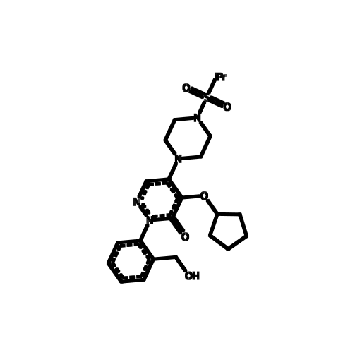 CC(C)S(=O)(=O)N1CCN(c2cnn(-c3ccccc3CO)c(=O)c2OC2CCCC2)CC1